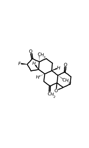 C=C1C[C@H]2[C@@H]3C[C@@H](F)C(=O)[C@@]3(C)CC[C@@H]2[C@@]2(C)C(=O)CCC3OC132